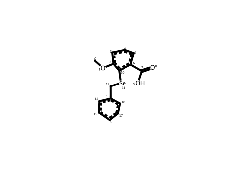 COc1cccc(C(=O)O)c1[Se]Cc1ccccc1